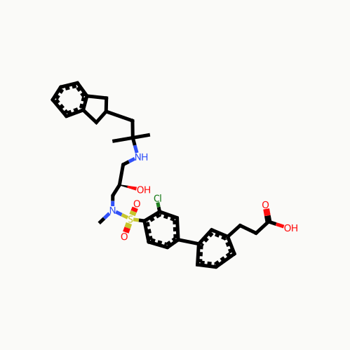 CN(C[C@H](O)CNC(C)(C)CC1Cc2ccccc2C1)S(=O)(=O)c1ccc(-c2cccc(CCC(=O)O)c2)cc1Cl